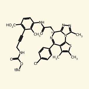 Cc1sc2c(c1C)C(c1ccc(Cl)cc1)=N[C@@H](CC(=O)Nc1ccc(C(=O)O)c(C#CCNC(=O)OC(C)(C)C)c1C)c1nnc(C)n1-2